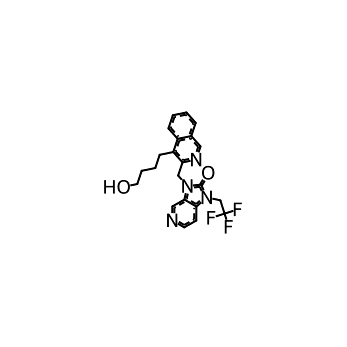 O=c1n(Cc2ncc3ccccc3c2CCCCO)c2cnccc2n1CC(F)(F)F